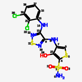 NS(=O)(=O)c1scc(Nc2nsnc2Nc2cccc(Cl)c2Cl)c1O